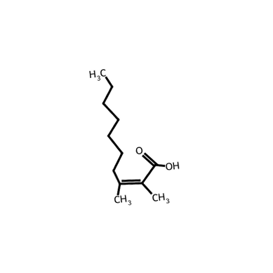 CCCCCCCC(C)=C(C)C(=O)O